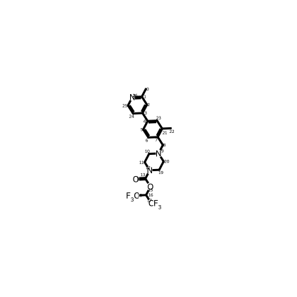 Cc1cc(-c2ccc(CN3CCN(C(=O)OC(C(F)(F)F)C(F)(F)F)CC3)c(C)c2)ccn1